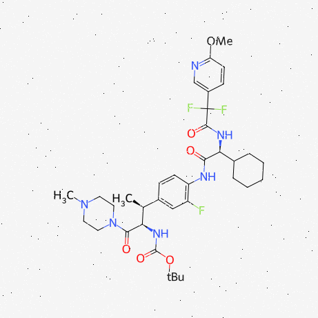 COc1ccc(C(F)(F)C(=O)N[C@H](C(=O)Nc2ccc([C@H](C)[C@@H](NC(=O)OC(C)(C)C)C(=O)N3CCN(C)CC3)cc2F)C2CCCCC2)cn1